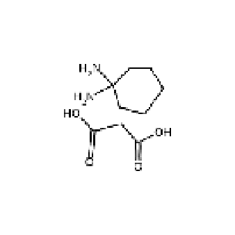 NC1(N)CCCCC1.O=C(O)CC(=O)O